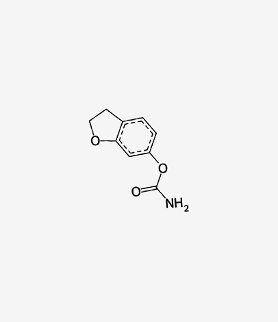 NC(=O)Oc1ccc2c(c1)OCC2